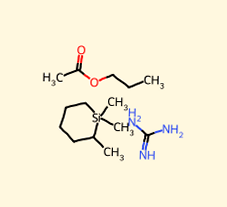 CC1CCCC[Si]1(C)C.CCCOC(C)=O.N=C(N)N